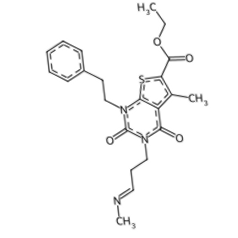 CCOC(=O)c1sc2c(c1C)c(=O)n(CC/C=N/C)c(=O)n2CCc1ccccc1